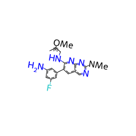 CNc1ncc2cc(-c3cc(N)cc(F)c3)c(NC[C@@H](C)OC)nc2n1